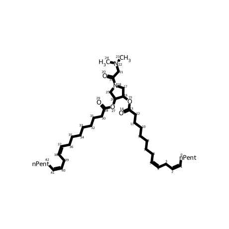 CCCCC/C=C\C/C=C\CCCCCCCC(=O)OC1CN(C(=O)CN(C)C)CC1OC(=O)CCCCCCC/C=C\C/C=C\CCCCC